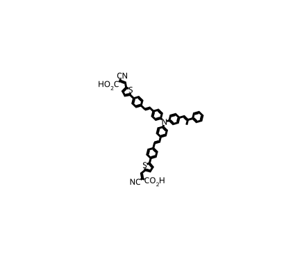 C/C(=C\c1ccc(N(c2ccc(/C=C/c3ccc(-c4ccc(/C=C(/C#N)C(=O)O)s4)cc3)cc2)c2ccc(/C=C/c3ccc(-c4ccc(/C=C(/C#N)C(=O)O)s4)cc3)cc2)cc1)c1ccccc1